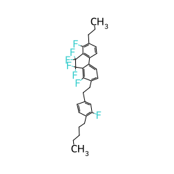 CCCCCc1ccc(CCc2ccc3c(c2F)C(F)(F)C(F)(F)c2c-3ccc(CCC)c2F)cc1F